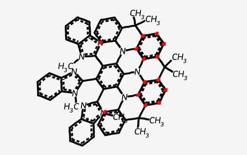 Cn1c(-c2c(-c3nc4ccccc4n3C)c(N3c4ccccc4C(C)(C)c4ccccc43)c(N3c4ccccc4C(C)(C)c4ccccc43)c(N3c4ccccc4C(C)(C)c4ccccc43)c2-c2nc3ccccc3n2C)nc2ccccc21